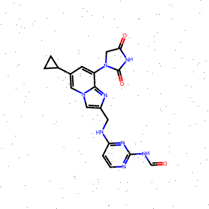 O=CNc1nccc(NCc2cn3cc(C4CC4)cc(N4CC(=O)NC4=O)c3n2)n1